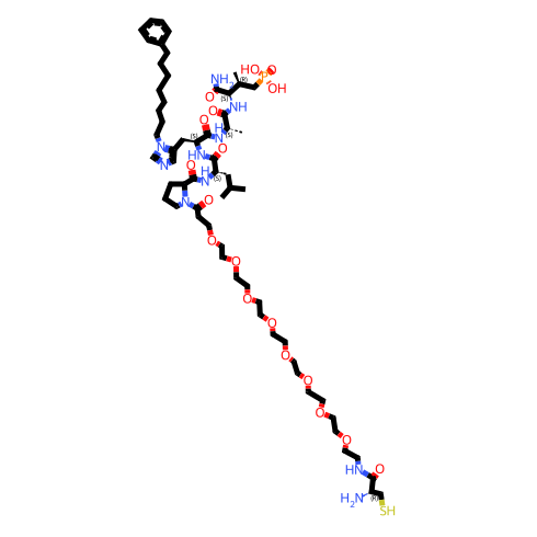 CC(C)C[C@H](NC(=O)C1CCCN1C(=O)CCOCCOCCOCCOCCOCCOCCOCCOCCNC(=O)[C@@H](N)CS)C(=O)N[C@@H](Cc1cncn1CCCCCCCCc1ccccc1)C(=O)N[C@@H](C)C(=O)N[C@H](C(N)=O)[C@@H](C)CP(=O)(O)O